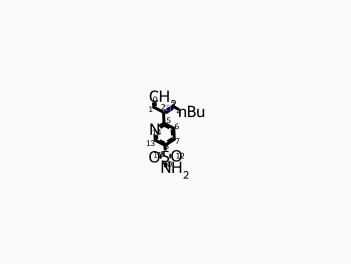 C=C/C(=C/CCCC)c1ccc(S(N)(=O)=O)cn1